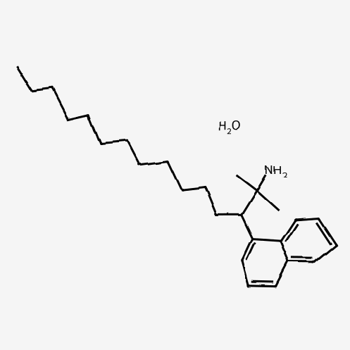 CCCCCCCCCCCCC(c1cccc2ccccc12)C(C)(C)N.O